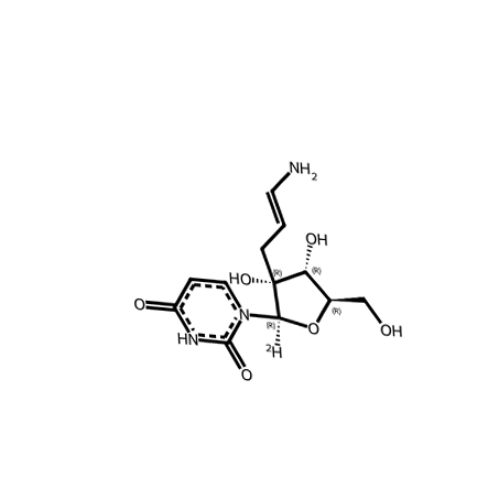 [2H][C@@]1(n2ccc(=O)[nH]c2=O)O[C@H](CO)[C@@H](O)[C@]1(O)CC=CN